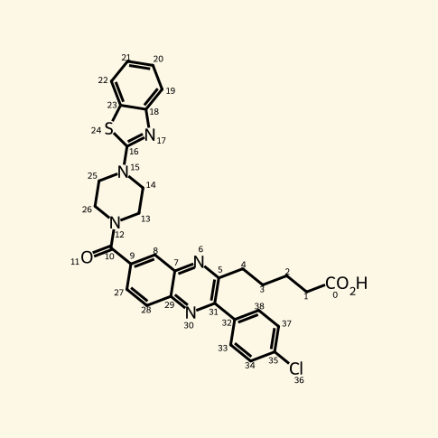 O=C(O)CCCCc1nc2cc(C(=O)N3CCN(c4nc5ccccc5s4)CC3)ccc2nc1-c1ccc(Cl)cc1